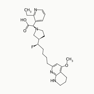 CCc1ncccc1[C@H](C(=O)O)N1CC[C@@H]([C@H](F)CCCCc2cc(OC)c3c(n2)NCCC3)C1